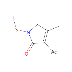 CC(=O)C1=C(C)CN(SI)C1=O